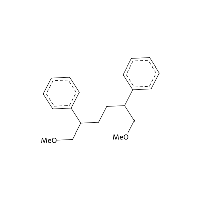 COCC(CCC(COC)c1ccccc1)c1ccccc1